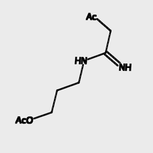 CC(=O)CC(=N)NCCCOC(C)=O